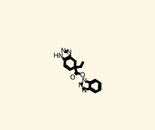 CCC1(C(=O)On2nnc3ccccc32)C=Cc2[nH]nnc2C1